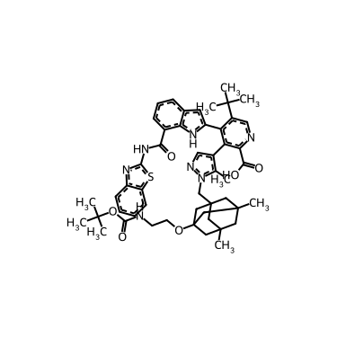 Cc1c(-c2c(C(=O)O)ncc(C(C)(C)C)c2-c2cc3cccc(C(=O)Nc4nc5ccccc5s4)c3[nH]2)cnn1CC12CC3(C)CC(C)(C1)CC(OCCNC(=O)OC(C)(C)C)(C3)C2